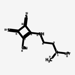 CCCN(C)CCNc1c(C(C)(C)C)c(=S)c1=S